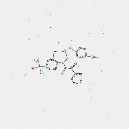 COc1ccc(O[C@H]2CCc3cc(C(O)(C(F)(F)F)C(F)(F)F)ccc3N(C(=O)[C@@H](C)c3ccccc3)C2)cc1